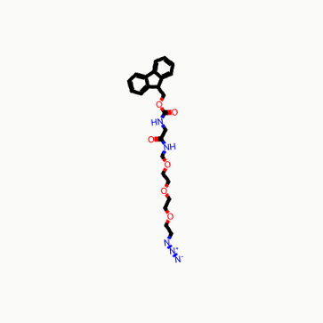 [N-]=[N+]=NCCOCCOCCOCNC(=O)CNC(=O)OCC1c2ccccc2-c2ccccc21